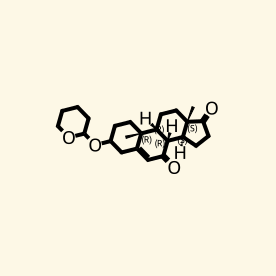 C[C@]12CCC(OC3CCCCO3)CC1=CC(=O)[C@@H]1[C@H]2CC[C@]2(C)C(=O)CC[C@@H]12